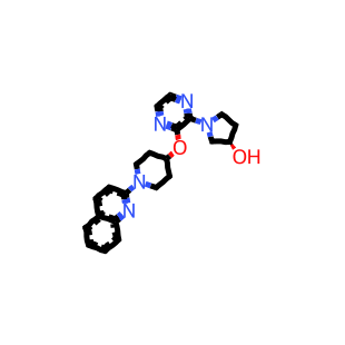 O[C@@H]1CCN(c2nccnc2OC2CCN(c3ccc4ccccc4n3)CC2)C1